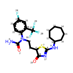 NC(=O)N(CCC1SC(NC2CCCCCC2)=NC1=O)c1ccc(F)cc1C(F)(F)F